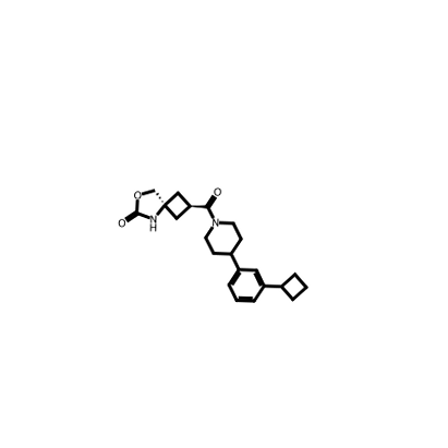 O=C1N[C@]2(CO1)C[C@H](C(=O)N1CCC(c3cccc(C4CCC4)c3)CC1)C2